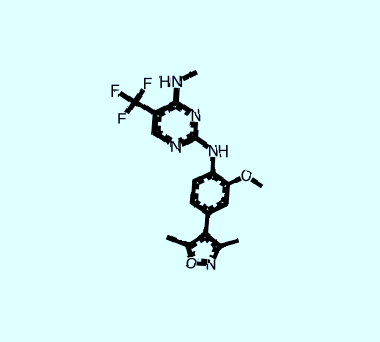 CNc1nc(Nc2ccc(-c3c(C)noc3C)cc2OC)ncc1C(F)(F)F